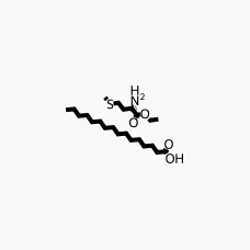 CCCCCCCCCCCCCCCC(=O)O.CCOC(=O)[C@@H](N)CCSC